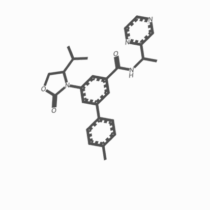 Cc1ccc(-c2cc(C(=O)NC(C)c3cnccn3)cc(N3C(=O)OCC3C(C)C)c2)cc1